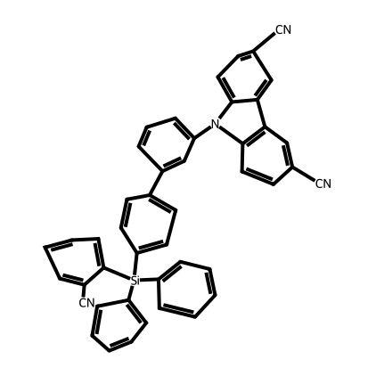 N#Cc1ccc2c(c1)c1cc(C#N)ccc1n2-c1cccc(-c2ccc([Si](c3ccccc3)(c3ccccc3)c3ccccc3C#N)cc2)c1